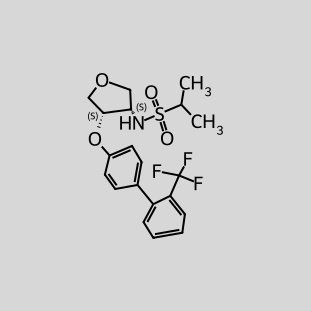 CC(C)S(=O)(=O)N[C@H]1COC[C@H]1Oc1ccc(-c2ccccc2C(F)(F)F)cc1